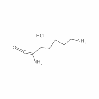 Cl.NCCCCCC(N)=C=O